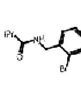 CC(C)C(=O)NCc1ccccc1Br